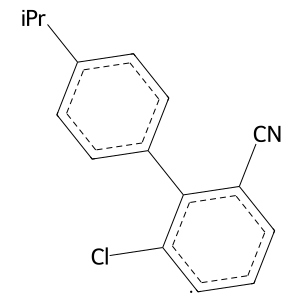 CC(C)c1ccc(-c2c(Cl)[c]ccc2C#N)cc1